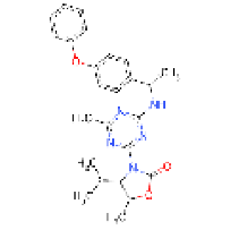 Cc1nc(N[C@@H](C)c2ccc(Oc3ccccc3)cc2)nc(N2C(=O)OC(C)[C@@H]2C(C)C)n1